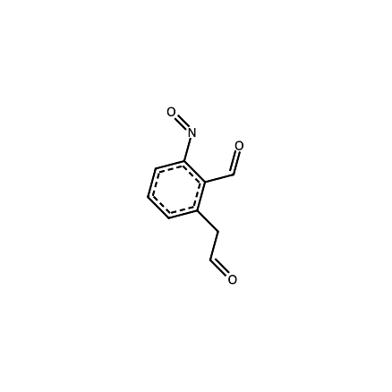 O=CCc1cccc(N=O)c1C=O